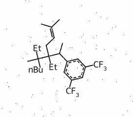 CCCCC(C)(CC)C(CC)(CC=C(C)C)C(C)c1cc(C(F)(F)F)cc(C(F)(F)F)c1